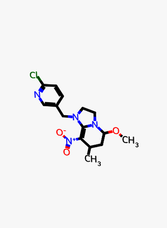 COC1CC(C)C([N+](=O)[O-])=C2N(Cc3ccc(Cl)nc3)CCN21